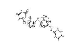 CC(NC(=O)OCc1ccccc1)C(=O)Cn1nnnc1Sc1c(Cl)cccc1Cl